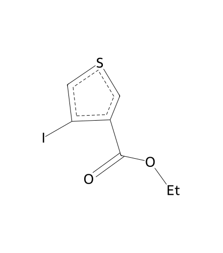 CCOC(=O)c1cscc1I